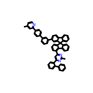 Cc1ccnc(-c2ccc(-c3cccc(-c4ccc5c(c4)C4(c6ccccc6-5)c5ccccc5-c5c(-c6cc(-c7ccccc7-c7ccccc7)nc(C)n6)cccc54)c3)cc2)c1